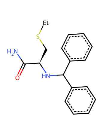 CCSC[C@@H](NC(c1ccccc1)c1ccccc1)C(N)=O